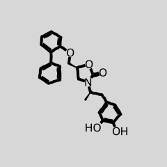 C[C@H](Cc1ccc(O)c(O)c1)N1C[C@@H](COc2ccccc2-c2ccccc2)OC1=O